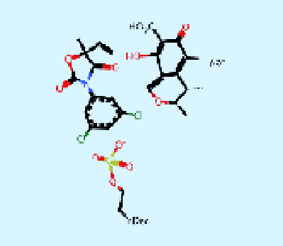 C=CC1(C)OC(=O)N(c2cc(Cl)cc(Cl)c2)C1=O.CC1=C2C(=CO[C@H](C)[C@H]2C)C(O)=C(C(=O)O)C1=O.CCCCCCCCCCCCOS(=O)(=O)[O-].[Na+]